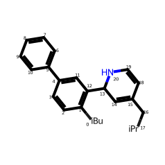 CCC(C)c1ccc(-c2ccccc2)cc1C1C=C(CC(C)C)C=CN1